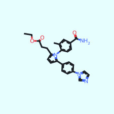 CCOC(=O)CCc1ccc(-c2ccc(-n3ccnc3)cc2)n1-c1ccc(C(N)=O)cc1C